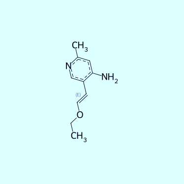 CCO/C=C/c1cnc(C)cc1N